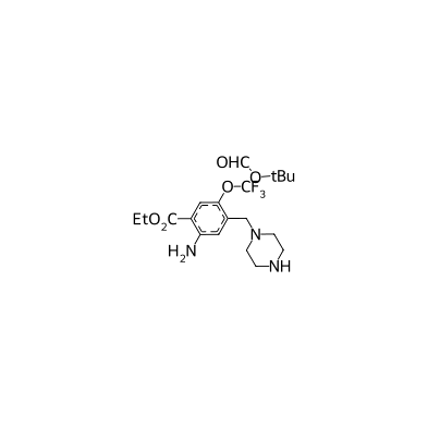 CC(C)(C)OC=O.CCOC(=O)c1cc(OC(F)(F)F)c(CN2CCNCC2)cc1N